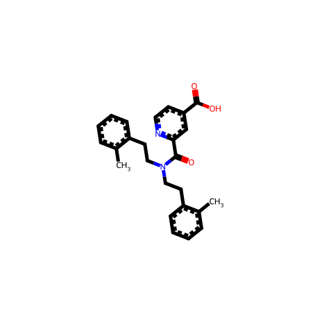 Cc1ccccc1CCN(CCc1ccccc1C)C(=O)c1cc(C(=O)O)ccn1